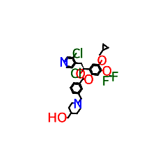 O=C(O[C@@H](Cc1c(Cl)cncc1Cl)c1ccc(OC(F)F)c(OCC2CC2)c1)c1cccc(CN2CCC(CO)CC2)c1